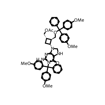 COc1ccc(C(OC[C@@H]2[C@@H](COC(C)=O)C[C@H]2N2CNc3c2nc(N)n(C(c2ccccc2)(c2ccc(OC)cc2)c2ccc(OC)cc2)c3=O)(c2ccccc2)c2ccc(OC)cc2)cc1